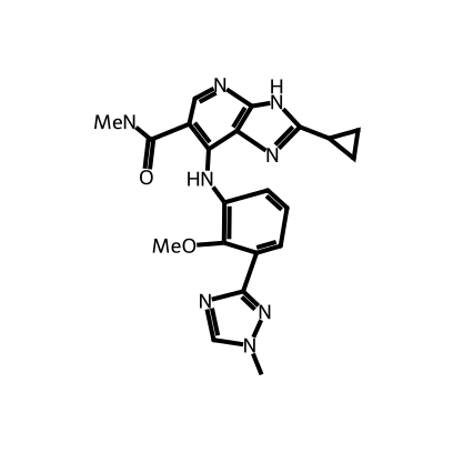 CNC(=O)c1cnc2[nH]c(C3CC3)nc2c1Nc1cccc(-c2ncn(C)n2)c1OC